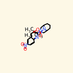 CC(C)(C)OC(=O)N1C2CCCC1CN(c1ccc3cc([N+](=O)[O-])ccc3n1)C2